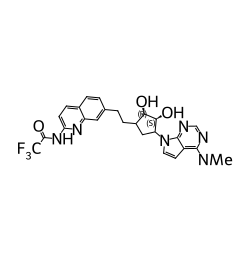 CNc1ncnc2c1ccn2C1CC(CCc2ccc3ccc(NC(=O)C(F)(F)F)nc3c2)[C@@H](O)[C@H]1O